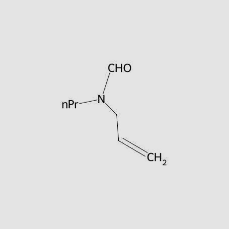 C=CCN(C=O)CCC